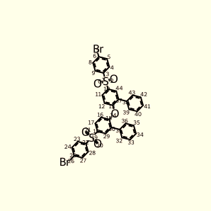 O=S(=O)(c1ccc(Br)cc1)c1ccc(Oc2ccc(S(=O)(=O)c3ccc(Br)cc3)cc2-c2ccccc2)c(-c2ccccc2)c1